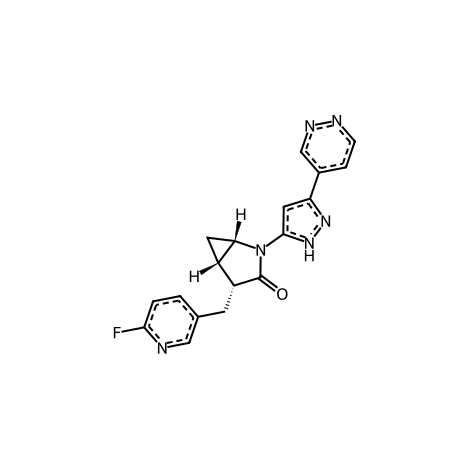 O=C1[C@H](Cc2ccc(F)nc2)[C@@H]2C[C@@H]2N1c1cc(-c2ccnnc2)n[nH]1